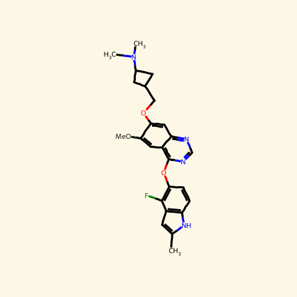 COc1cc2c(Oc3ccc4[nH]c(C)cc4c3F)ncnc2cc1OCC1CC(N(C)C)C1